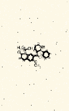 COc1cc2c(cc1N(C)[C@H]1CCCN[C@H]1c1ccccc1)N(C(C)C)C(=O)CC2